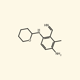 Cc1c(N)ccc(NC2CCCCO2)c1C=N